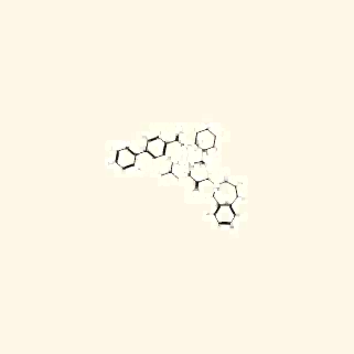 CC(C)C[C@H](NC(=O)[C@@H]1CCCC[C@@H]1NC(=O)c1ccc(-c2ccccc2)cc1)C(=O)CN1CCCc2ccccc2C1